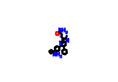 CC1=C(/C=C/C(N)=O)B2N=C(c3ccc(C4(N)CCC4)cc3)C(c3ccccc3)=CC2=N1